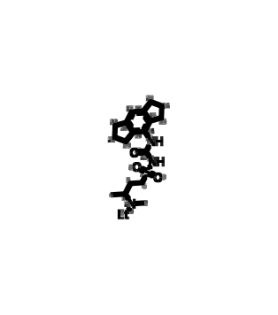 CCN(C)C(C)CCS(=O)(=O)NC(=O)Nc1c2c(cc3c1CCC3)CCC2